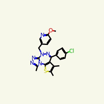 COc1ccc(CN2N=C(c3ccc(Cl)cc3)c3c(sc(C)c3C)-n3c(C)nnc32)cn1